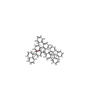 c1ccc2c(c1)-c1ccccc1C21c2ccccc2-c2ccc(N(c3ccc(-c4cccc5ccccc45)cc3)c3cccc4c5ccccc5c5ccccc5c34)cc21